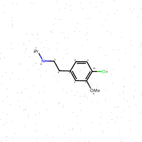 COc1cc(CC[N]C(C)C)ccc1Cl